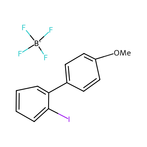 COc1ccc(-c2ccccc2I)cc1.F[B-](F)(F)F